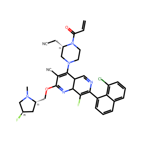 C=CC(=O)N1CCN(C2=C(C#N)C(OC[C@@H]3C[C@@H](F)CN3C)=NC3C(F)=C(c4cccc5cccc(Cl)c45)N=CC23)C[C@@H]1CC#N